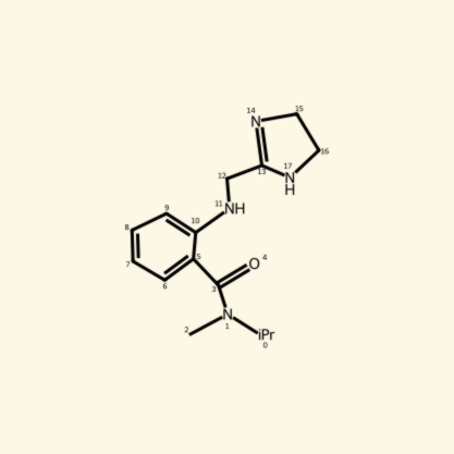 CC(C)N(C)C(=O)c1ccccc1NCC1=NCCN1